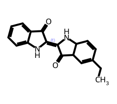 CCC1=CC2C(=O)/C(=C3\Nc4ccccc4C3=O)NC2C=C1